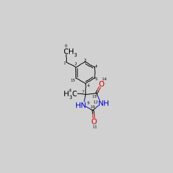 CCc1cccc(C2(C)NC(=O)NC2=O)c1